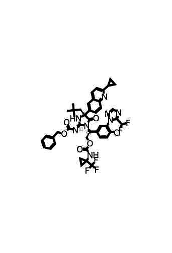 CC(C)(C)C[C@]1(c2ccc3nc(C4CC4)ccc3c2)N/C(=N\C(=O)OCc2ccccc2)N([C@H](COC(=O)NC2(C(F)(F)F)CC2)c2ccc(Cl)c(-n3ncnc3C(F)F)c2)C1=O